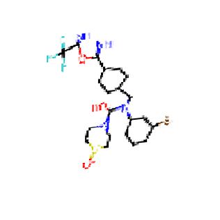 N=C(OC(=N)C(F)(F)F)C1CCC(CN(C2CCCC(Br)C2)C(O)N2CC[S+]([O-])CC2)CC1